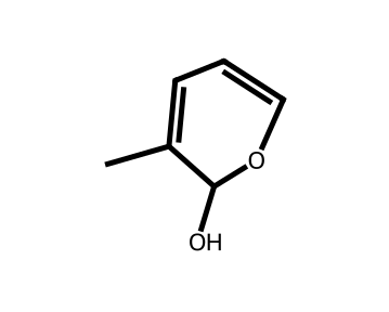 CC1=CC=COC1O